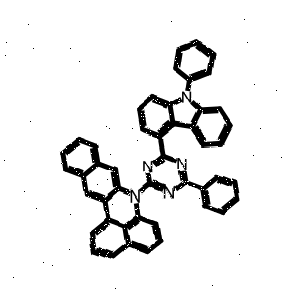 c1ccc(-c2nc(-c3cccc4c3c3ccccc3n4-c3ccccc3)nc(N3c4cc5ccccc5cc4-c4cccc5cccc3c45)n2)cc1